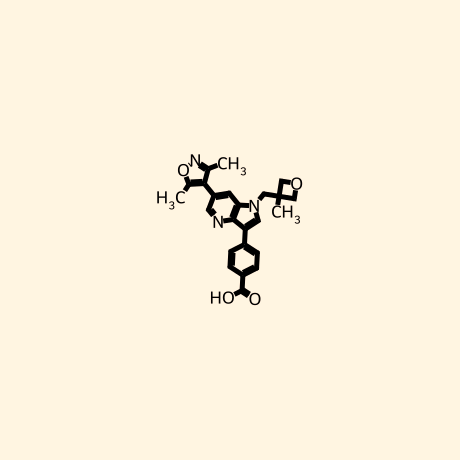 Cc1noc(C)c1-c1cnc2c(-c3ccc(C(=O)O)cc3)cn(CC3(C)COC3)c2c1